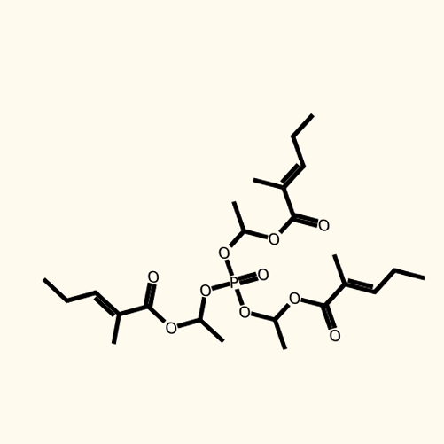 CC/C=C(\C)C(=O)OC(C)OP(=O)(OC(C)OC(=O)/C(C)=C/CC)OC(C)OC(=O)/C(C)=C/CC